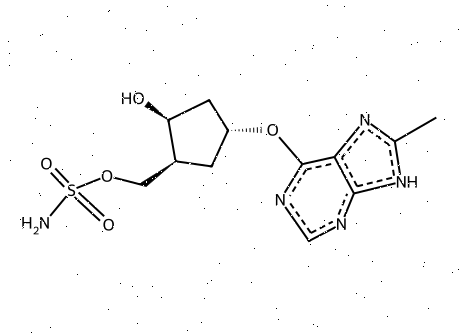 Cc1nc2c(O[C@@H]3C[C@@H](COS(N)(=O)=O)[C@@H](O)C3)ncnc2[nH]1